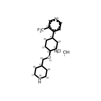 Cl.Cl.FC(F)(F)c1cnccc1C1CCC(OCC2CCNCC2)CC1